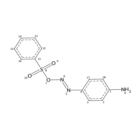 Nc1ccc(N=NOS(=O)(=O)c2ccccc2)cc1